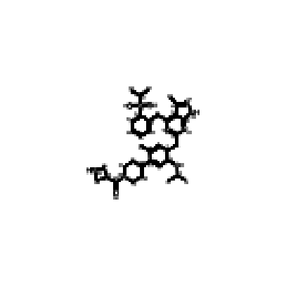 Cc1cc(Cc2nc(Cc3ccccc3S(=O)(=O)C(C)C)c3c(C)n[nH]c3n2)c(OC(C)C)cc1C1CCN(C(=O)C2CNC2)CC1